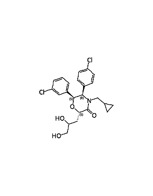 O=C1[C@H](CC(O)CO)O[C@@H](c2cccc(Cl)c2)[C@@H](c2ccc(Cl)cc2)N1CC1CC1